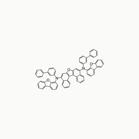 c1ccc(-c2cccc(N(c3cc4oc5cc(N(c6cccc(-c7ccccc7)c6)c6cccc7c6oc6ccccc67)c6ccccc6c5c4c4ccccc34)c3cccc4c3oc3ccccc34)c2)cc1